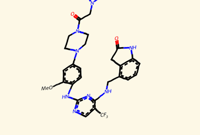 COc1cc(N2CCN(C(=O)CN(C)C)CC2)ccc1Nc1ncc(C(F)(F)F)c(NCc2cccc3c2CC(=O)N3)n1